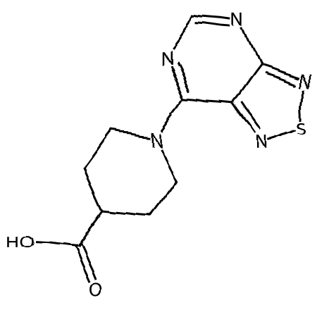 O=C(O)C1CCN(c2ncnc3nsnc23)CC1